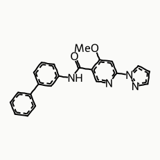 COc1cc(-n2cccn2)ncc1C(=O)Nc1cccc(-c2ccccc2)c1